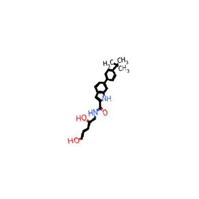 CC(C)(C)c1ccc(-c2ccc3cc(C(=O)NCC(O)CCCO)[nH]c3c2)cc1